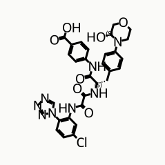 O=C(Nc1cc(Cl)ccc1-n1cnnn1)C(=O)N[C@@H](Cc1ccc(N2CCOC[C@@H]2O)cc1)C(=O)Nc1ccc(C(=O)O)cc1